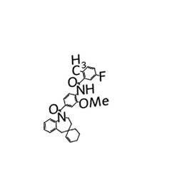 COc1cc(C(=O)N2CCC3(C=CCCC3)Cc3ccccc32)ccc1NC(=O)c1cc(F)ccc1C